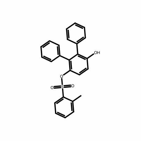 Cc1ccccc1S(=O)(=O)Oc1ccc(O)c(-c2ccccc2)c1-c1ccccc1